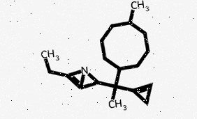 CCC1=C2C(C(C)(C3=CC3)C3CCCC(C)CCC3)N12